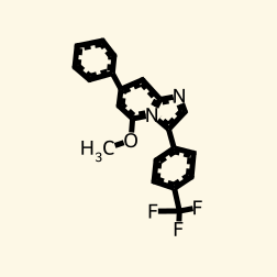 COc1cc(-c2ccccc2)cc2ncc(-c3ccc(C(F)(F)F)cc3)n12